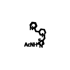 CC(=O)Nc1ncc(CN2CCCC(Cc3ccccn3)C2)s1